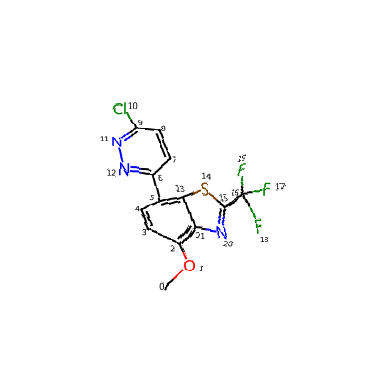 COc1ccc(-c2ccc(Cl)nn2)c2sc(C(F)(F)F)nc12